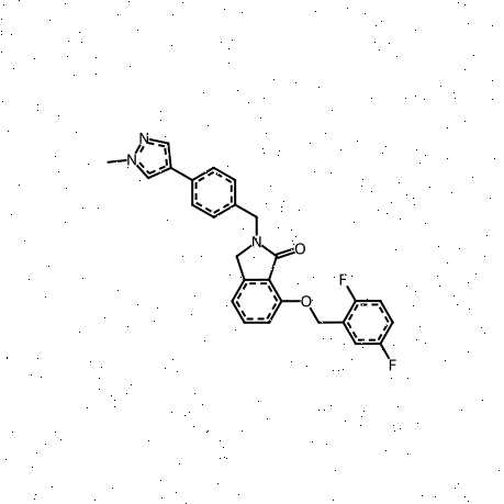 Cn1cc(-c2ccc(CN3Cc4cccc(OCc5cc(F)ccc5F)c4C3=O)cc2)cn1